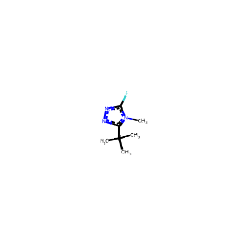 Cn1c(F)nnc1C(C)(C)C